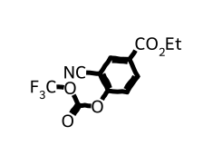 CCOC(=O)c1ccc(OC(=O)OC(F)(F)F)c(C#N)c1